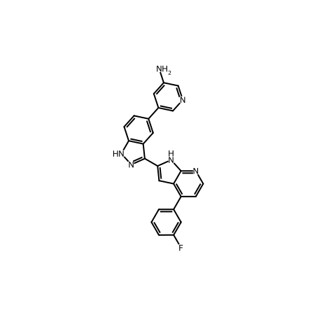 Nc1cncc(-c2ccc3[nH]nc(-c4cc5c(-c6cccc(F)c6)ccnc5[nH]4)c3c2)c1